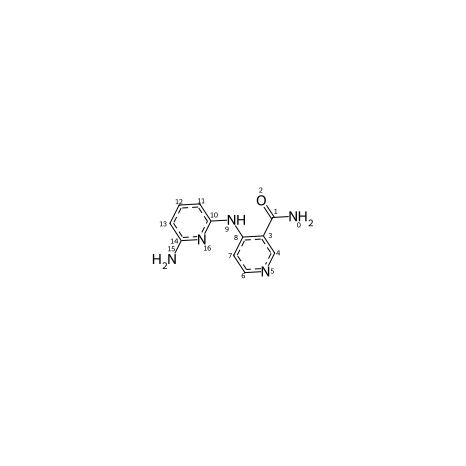 NC(=O)c1cnccc1Nc1cccc(N)n1